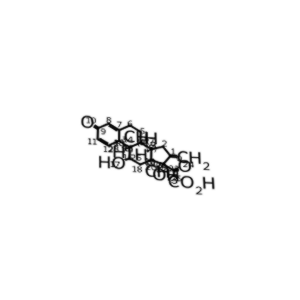 C=C1C[C@H]2[C@@H]3CCC4=CC(=O)C=C[C@]4(C)[C@H]3C(O)C[C@]2(C)[C@@]1(O)C(=O)C(=O)O